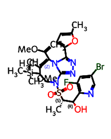 C=C(OC)/C(=C(\C)OC)n1c(-c2ccc(C)o2)nnc1N(CC[Si](C)(C)C)S(=O)(=O)[C@@H](C)[C@H](O)c1ncc(Br)cc1F